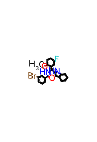 COc1ccc(F)cc1[C@@H](NC(=O)c1cccc(Br)c1)c1cc2ccccc2[nH]1